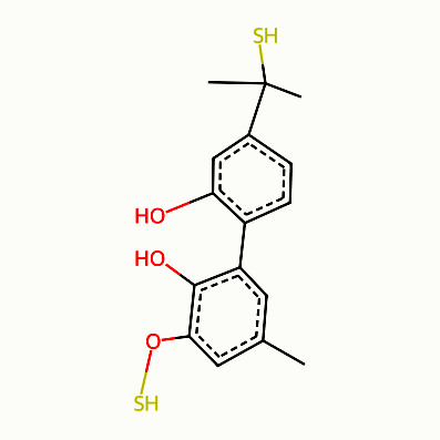 Cc1cc(OS)c(O)c(-c2ccc(C(C)(C)S)cc2O)c1